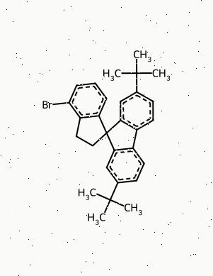 CC(C)(C)c1ccc2c(c1)C1(CCc3c(Br)cccc31)c1cc(C(C)(C)C)ccc1-2